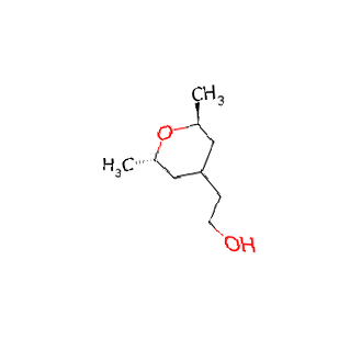 C[C@H]1CC(CCO)C[C@H](C)O1